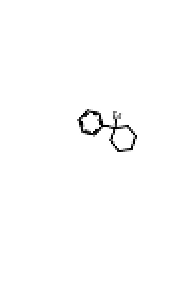 BrC1(c2ccccc2)CCCCC1